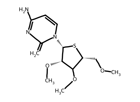 C=C1N=C(N)C=CN1[C@@H]1S[C@H](COC)C(OC)[C@@H]1OC